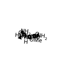 COc1cc(Nc2ncc(C(N)=O)c(NC3CC3)n2)ccc1N1CCN(S(N)(=O)=O)CC1